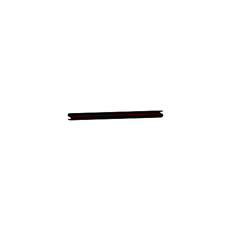 S=S=S=S=S=S=S=S=S=S=S=S=S=S=S=S=S=S=S=S=S=S=S=S=S=S=S=S=S=S=S=S=S=S=S=S=S=S=S=S=S=S=S=S=S=S=S=S=S=S=S=S=S=S=S=S=S=S=S=S=S=S=S=S=S=S=S=S=S=S=S=S=S=S=S=S=S=S=S=S=S=S=S=S=S=S=S=S=S=S=S=S=S=S=S=S=S=S=S=S=S=S=S=S=S=S=S=S=S=S=S=S=S=S=S=S=S=S=S=S=S=S=S=S=S